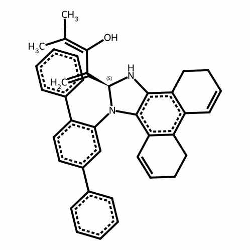 C=C(C(O)=C(C)C)[C@H]1Nc2c3c(c4c(c2N1c1cc(-c2ccccc2)ccc1-c1ccccc1)C=CCC4)C=CCC3